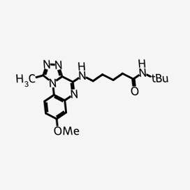 COc1ccc2c(c1)nc(NCCCCC(=O)NC(C)(C)C)c1nnc(C)n12